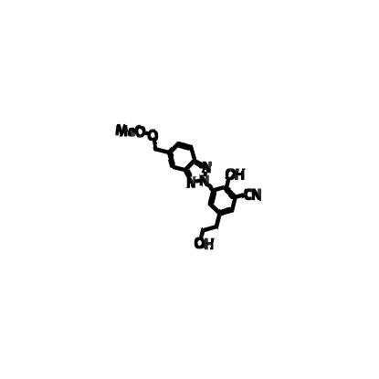 COOCc1ccc2nn(-c3cc(CCO)cc(C#N)c3O)nc2c1